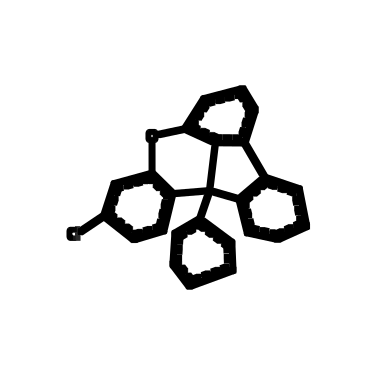 Clc1ccc2c(c1)Oc1cccc3c1C2(c1ccccc1)c1ccccc1-3